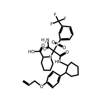 C=CCOc1ccc(C2CCCCC2NC(=O)C(C(N)=O)(N2CCCCC2C(=O)O)S(=O)(=O)c2cccc(C(F)(F)F)c2)cc1